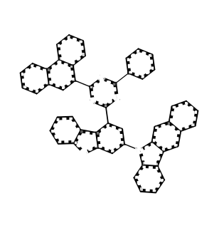 c1ccc(-c2nc(-c3cc4ccccc4c4ccccc34)nc(-c3cc(-n4c5ccccc5c5cc6ccccc6cc54)cc4oc5ccccc5c34)n2)cc1